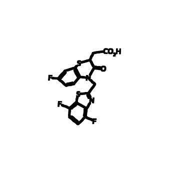 O=C(O)CC1Sc2cc(F)ccc2N(Cc2nc3c(F)ccc(F)c3s2)C1=O